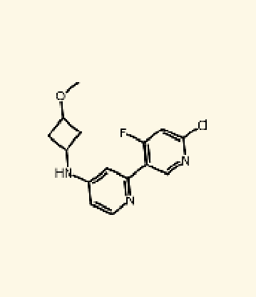 COC1CC(Nc2ccnc(-c3cnc(Cl)cc3F)c2)C1